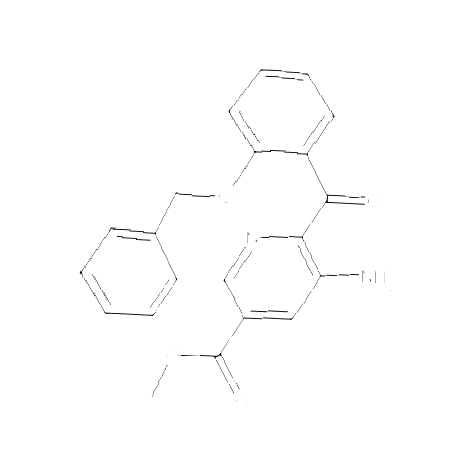 COC(=O)c1cnc(C(=O)c2ccccc2OCc2ccccc2)c(N)c1